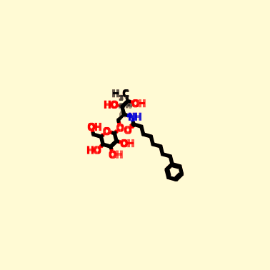 C[C@@H](O)[C@@H](O)[C@H](COC1OC(CO)C(O)C(O)C1O)NC(=O)CCCCCCCc1ccccc1